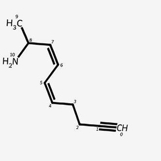 C#CCC/C=C\C=C/C(C)N